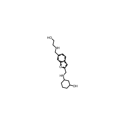 OCCNCc1ccc2cc(CNC3CCCC(O)C3)oc2c1